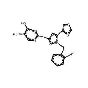 Oc1nc(-c2cc(-c3cnco3)n(Cc3ccccc3F)n2)ncc1P